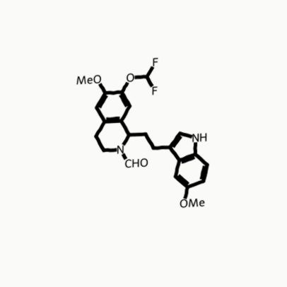 COc1ccc2[nH]cc(CCC3c4cc(OC(F)F)c(OC)cc4CCN3C=O)c2c1